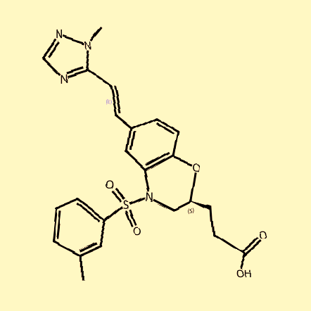 Cc1cccc(S(=O)(=O)N2C[C@H](CCC(=O)O)Oc3ccc(/C=C/c4ncnn4C)cc32)c1